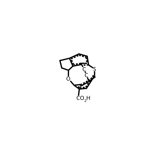 O=C(O)c1cc2c3cc1OC1CCc4ccc(c(c41)CC3)S2